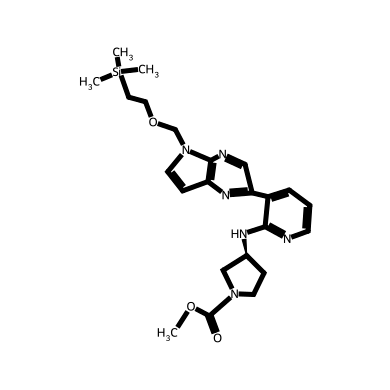 COC(=O)N1CC[C@H](Nc2ncccc2-c2cnc3c(ccn3COCC[Si](C)(C)C)n2)C1